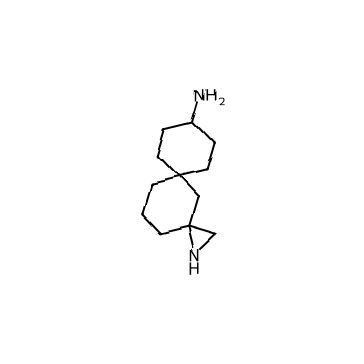 NC1CCC2(CCCC3(CN3)C2)CC1